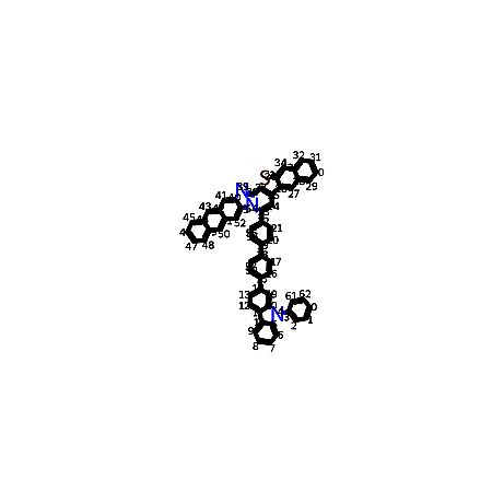 c1ccc(-n2c3ccccc3c3ccc(-c4ccc(-c5ccc(-c6cc7c8cc9ccccc9cc8sc7c7nc8cc9cc%10ccccc%10cc9cc8n67)cc5)cc4)cc32)cc1